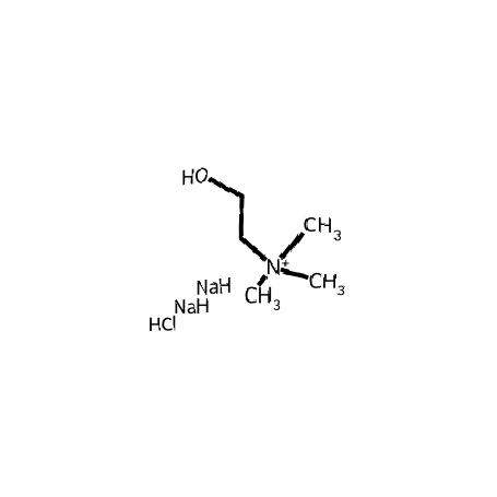 C[N+](C)(C)CCO.Cl.[NaH].[NaH]